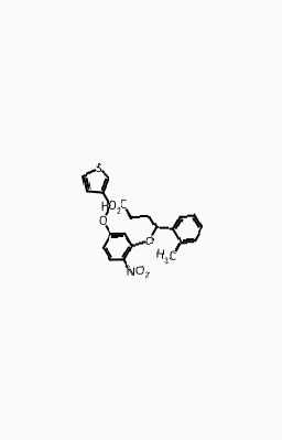 Cc1ccccc1C(CCC(=O)O)Oc1cc(OCc2ccsc2)ccc1[N+](=O)[O-]